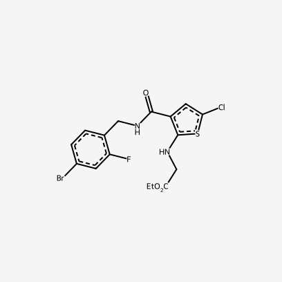 CCOC(=O)CNc1sc(Cl)cc1C(=O)NCc1ccc(Br)cc1F